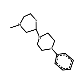 CN1CC[N]C(N2CCN(c3ccccc3)CC2)C1